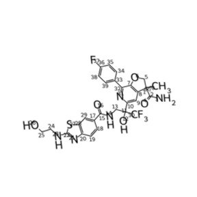 C[C@]1(C(N)=O)COc2c1cc(C(O)(CNC(=O)c1ccc3nc(NCCO)sc3c1)C(F)(F)F)nc2-c1ccc(F)cc1